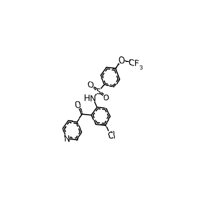 O=C(c1ccncc1)c1cc(Cl)ccc1NS(=O)(=O)c1ccc(OC(F)(F)F)cc1